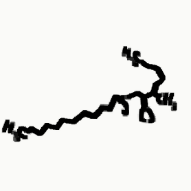 CC/C=C\C=C(/C)C(=O)CSCCCCCCCCCCCC